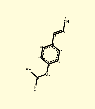 N#CC=Cc1ccc(OC(F)F)cc1